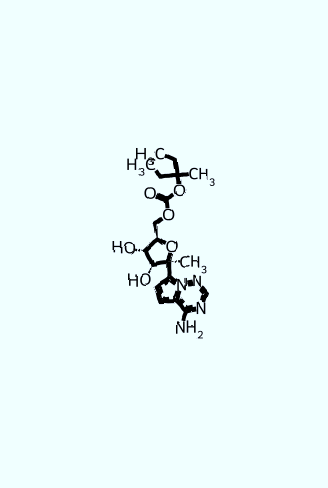 CCC(C)(CC)OC(=O)OC[C@H]1O[C@@](C)(c2ccc3c(N)ncnn23)[C@H](O)[C@@H]1O